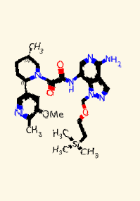 COc1cc([C@H]2CC[C@H](C)CN2C(=O)C(=O)Nc2cnc(N)c3cnn(COCC[Si](C)(C)C)c23)cnc1C